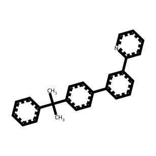 CC(C)(c1ccccc1)c1ccc(-c2cccc(-c3ccccn3)c2)cc1